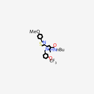 CCCCNC(=O)c1cc(-c2csc(-c3ccc(OC)cc3)n2)n(Cc2cccc(OC(F)(F)F)c2)c1C